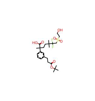 CC(C)(C)OC(=O)CCc1cccc(C(C)(CCC(C)(C)C(F)(F)CS(=O)(=O)CCO)C(=O)O)c1